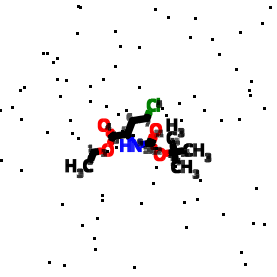 CCOC(=O)C(CCCl)NC(=O)OC(C)(C)C